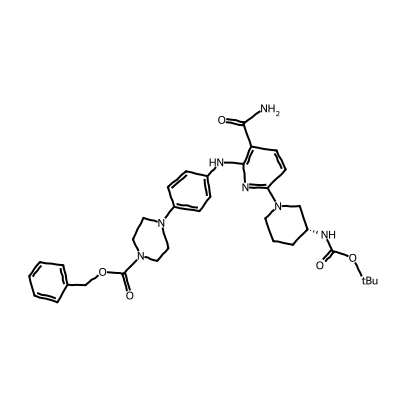 CC(C)(C)OC(=O)N[C@@H]1CCCN(c2ccc(C(N)=O)c(Nc3ccc(N4CCN(C(=O)OCc5ccccc5)CC4)cc3)n2)C1